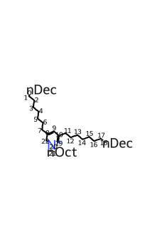 CCCCCCCCCCCCCCCCCc1cc(CCCCCCCCCCCCCCCCC)c[n+](CCCCCCCC)c1